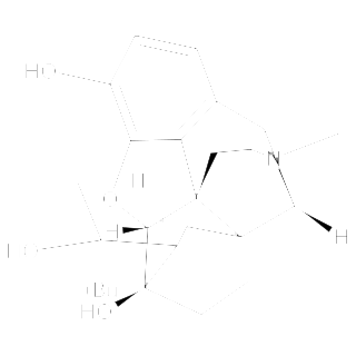 CN1CC[C@]23c4c5ccc(O)c4O[C@H]2[C@@]2(O)CC[C@@]3(C[C@@H]2[C@](C)(O)C(C)(C)C)[C@H]1C5